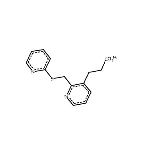 O=C(O)CCc1cccnc1CSc1ccccn1